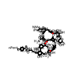 CCCCCOc1ccc(S(=O)(=O)NC(=O)CCNCc2c(O)cc3c(c2O)-c2cc(ccc2O)[C@H]2NC(=O)[C@@H]4NC(=O)[C@H](CC(N)=O)NC(=O)[C@H](NC(=O)[C@@H](CC(C)C)NC)[C@H](O)c5ccc6c(c5)C(O)[C@H]5O[C@@H](Oc7c(cc4cc7O6)Oc4ccc(cc4Cl)[C@@H](O)[C@H](NC2=O)C(=O)N[C@@H]3C(=O)O)[C@H](O[C@H]2C[C@](C)(N)[C@H](O)[C@H](C)O2)[C@@H](O)[C@@H]5O)cc1